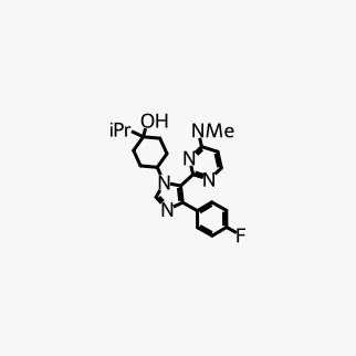 CNc1ccnc(-c2c(-c3ccc(F)cc3)ncn2C2CCC(O)(C(C)C)CC2)n1